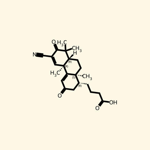 CC1(C)C(=O)C(C#N)=C[C@]2(C)C3=CC(=O)C[C@@H](CCCC(=O)O)[C@]3(C)CC[C@@H]12